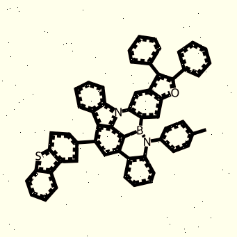 Cc1ccc(N2B3c4cc5oc(-c6ccccc6)c(-c6ccccc6)c5cc4-n4c5ccccc5c5c(-c6ccc7sc8ccccc8c7c6)cc(c3c54)-c3ccccc32)cc1